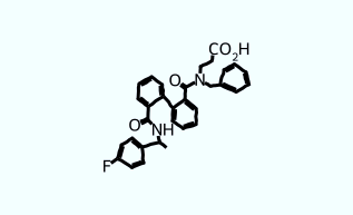 CC(NC(=O)c1ccccc1-c1ccccc1C(=O)N(CCC(=O)O)Cc1ccccc1)c1ccc(F)cc1